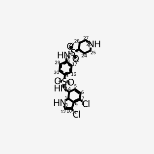 O=S(=O)(NC1C=CC(Cl)=C2C(Cl)=CNC21)c1ccc(NS(=O)(=O)C2CCNCC2)cc1